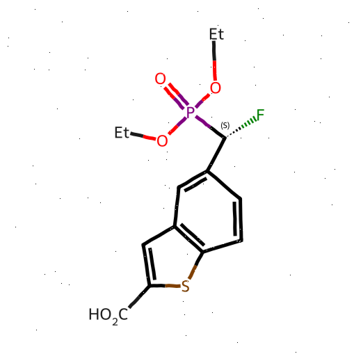 CCOP(=O)(OCC)[C@H](F)c1ccc2sc(C(=O)O)cc2c1